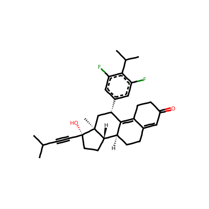 CC(C)C#C[C@]1(O)CC[C@H]2[C@@H]3CCC4=CC(=O)CCC4=C3[C@@H](c3cc(F)c(C(C)C)c(F)c3)C[C@@]21C